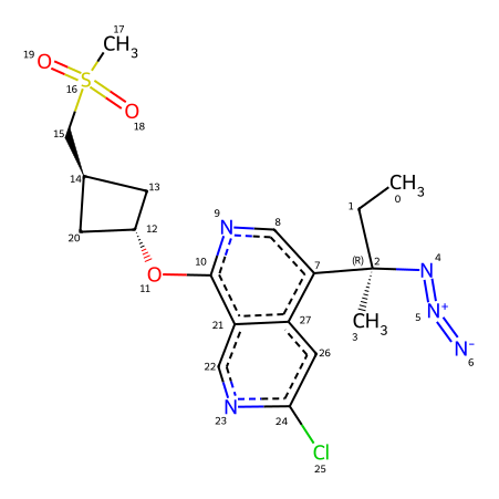 CC[C@@](C)(N=[N+]=[N-])c1cnc(O[C@H]2C[C@H](CS(C)(=O)=O)C2)c2cnc(Cl)cc12